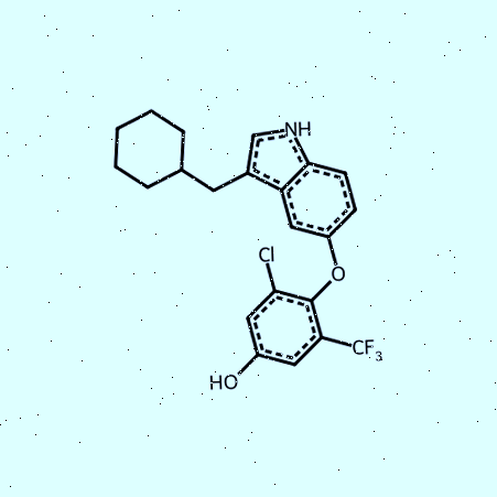 Oc1cc(Cl)c(Oc2ccc3[nH]cc(CC4CCCCC4)c3c2)c(C(F)(F)F)c1